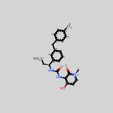 CCOC(=O)C[C@H](NC(=O)Nc1c(O)ccn(C)c1=O)c1cccc(Cc2ccc(C(F)(F)F)cc2)c1